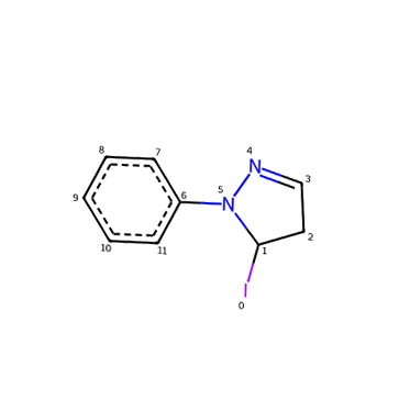 IC1CC=NN1c1ccccc1